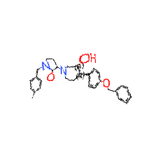 Cc1ccc(CN2CCC(N3CC[C@H](c4ccc(OCc5ccccc5)cc4)[C@@H](O)C3)C2=O)cc1